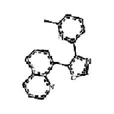 Cc1cccc(-c2ncoc2-c2cccc3cccnc23)n1